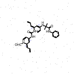 C=C/C=C(\C=C(/C=C)NC(=O)NC(/C=C(\C=C)NC(C)(C)C(=O)Nc1ccccc1)=C/C=C)NC=O